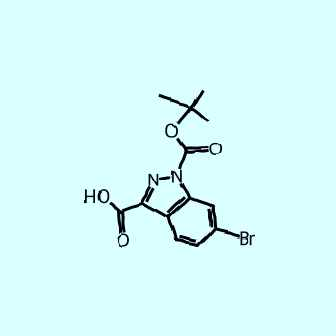 CC(C)(C)OC(=O)n1nc(C(=O)O)c2ccc(Br)cc21